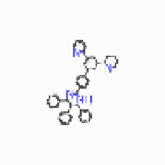 C1=CN=C(C2CC(c3ccccn3)=CC(c3ccc(C4=NC(c5ccccc5)=C(c5ccccc5)C(c5ccccc5)N4)cc3)C2)CC1